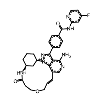 Nc1ncc2c3c1c(-c1ccc(C(=O)Nc4cc(F)ccn4)cc1)nn3[C@@H]1CCC[C@H](C1)NC(=O)CCOC/C=C/2